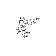 Cc1cn2c(C3CCN(C(=O)OC(C)(C)C)CC3)cc(-c3ccc(F)cc3C(=O)N(CC(F)F)C(C)C)c2cn1